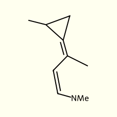 CN/C=C\C(C)=C1\CC1C